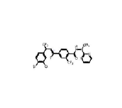 CN(NC(=O)c1ccc(/C(F)=C/C(c2ccc(Br)c(Cl)c2)C(F)(F)F)cc1C(F)(F)F)c1ncccn1